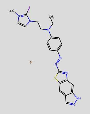 CCN(CCn1cc[n+](C)c1I)c1ccc(N=Nc2nc3cc4[nH]ncc4cc3s2)cc1.[Br-]